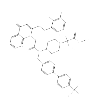 COC(=O)C(C)(C)N1CCC(N(Cc2ccc(-c3ccc(C(F)(F)F)cc3)cc2)C(=O)Cn2c(CCc3cccc(F)c3F)cc(=O)c3cccnc32)CC1